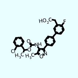 Cc1onc(-c2ccc(-c3ccc(F)c(CC(=O)O)c3)cc2)c1NC(=O)OC(C)c1ccccc1Cl